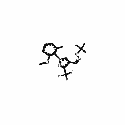 COc1cccc(C)c1-n1cc(/C=N\SC(C)(C)C)c(C(F)(F)F)n1